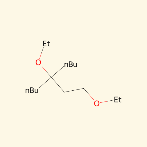 CCCCC(CCCC)(CCOCC)OCC